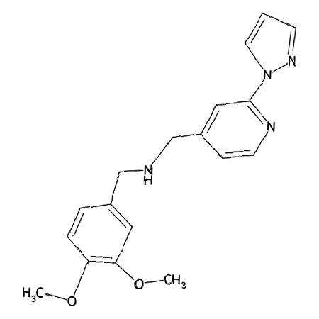 COc1ccc(CNCc2ccnc(-n3cccn3)c2)cc1OC